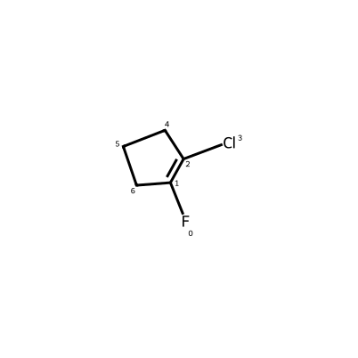 FC1=C(Cl)CCC1